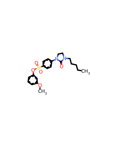 CCCCCN1CCN(c2ccc(S(=O)(=O)Oc3cccc(OC)c3)cc2)C1=O